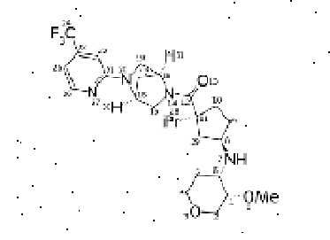 CO[C@@H]1COCC[C@@H]1N[C@@H]1CC[C@@](C(=O)N2C[C@@H]3C[C@H]2CN3c2cc(C(F)(F)F)ccn2)(C(C)C)C1